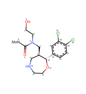 CNC(=O)N(CCO)C[C@@H]1CNCCO[C@H]1c1ccc(Cl)c(Cl)c1